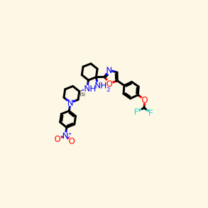 NC1(c2ncc(-c3ccc(OC(F)F)cc3)o2)CCCCC1N[C@H]1CCCN(c2ccc([N+](=O)[O-])cc2)C1